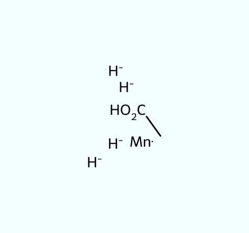 CC(=O)O.[H-].[H-].[H-].[H-].[Mn]